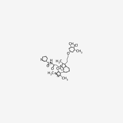 Cc1cc(OCCCc2c(C)n(CCC(=O)N[S+]([O-])c3cccnc3)c3c(-c4c(C)nn(C)c4C)cccc23)cc(C)c1Cl